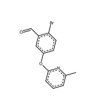 Cc1cccc(Oc2ccc(Br)c(C=O)c2)n1